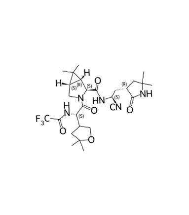 CC1(C)C[C@@H](C[C@@H](C#N)NC(=O)[C@@H]2[C@@H]3[C@H](CN2C(=O)[C@@H](NC(=O)C(F)(F)F)C2COC(C)(C)C2)C3(C)C)C(=O)N1